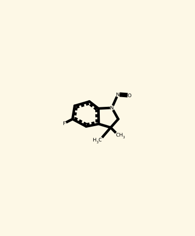 CC1(C)CN(N=O)c2ccc(F)cc21